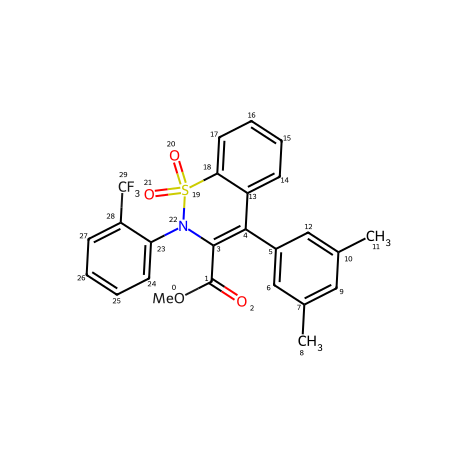 COC(=O)C1=C(c2cc(C)cc(C)c2)c2ccccc2S(=O)(=O)N1c1ccccc1C(F)(F)F